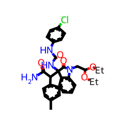 CCOC(CN1C(=O)C(NC(=O)Nc2ccc(Cl)cc2)(C(C(N)=O)c2ccc(C)cc2)c2ccccc21)OCC